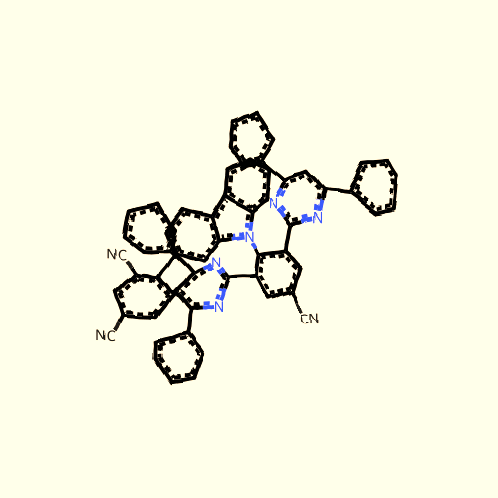 N#Cc1ccc(-c2ccc3c4ccccc4n(-c4c(-c5nc(-c6ccccc6)cc(-c6ccccc6)n5)cc(C#N)cc4-c4nc(-c5ccccc5)cc(-c5ccccc5)n4)c3c2)c(C#N)c1